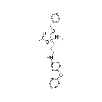 CC(=O)OC(N)(CCCNc1ccc(Oc2ccccc2)cc1)COCc1ccccc1